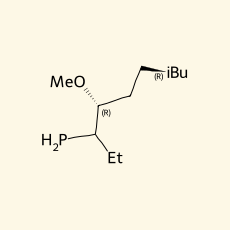 CCC(P)[C@@H](CC[C@H](C)CC)OC